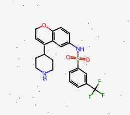 O=S(=O)(Nc1ccc2c(c1)C(C1CCNCC1)=CCO2)c1cccc(C(F)(F)F)c1